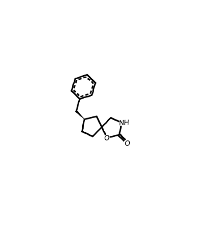 O=C1NCC2(CC[C@@H](Cc3ccccc3)C2)O1